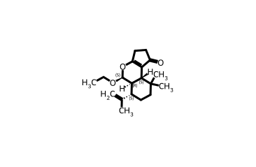 C=C(C)[C@H]1CCC(C)(C)[C@H]2C3=C(CCC3=O)O[C@H](OCC)[C@H]12